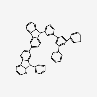 c1ccc(-c2cc(-c3cccc(-n4c5ccccc5c5cc(-c6ccc7c8cccnc8n(-c8ccccc8)c7c6)ccc54)c3)nc(-c3ccccc3)n2)cc1